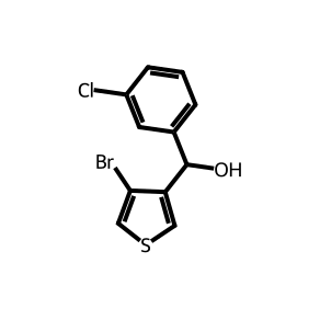 OC(c1cccc(Cl)c1)c1cscc1Br